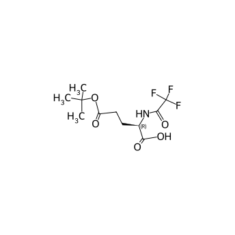 CC(C)(C)OC(=O)CC[C@@H](NC(=O)C(F)(F)F)C(=O)O